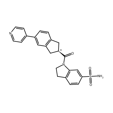 NS(=O)(=O)c1ccc2c(c1)N(C(=O)[C@@H]1Cc3ccc(-c4ccncc4)cc3C1)CC2